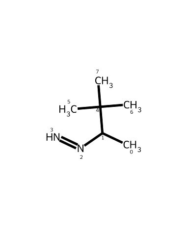 CC(N=N)C(C)(C)C